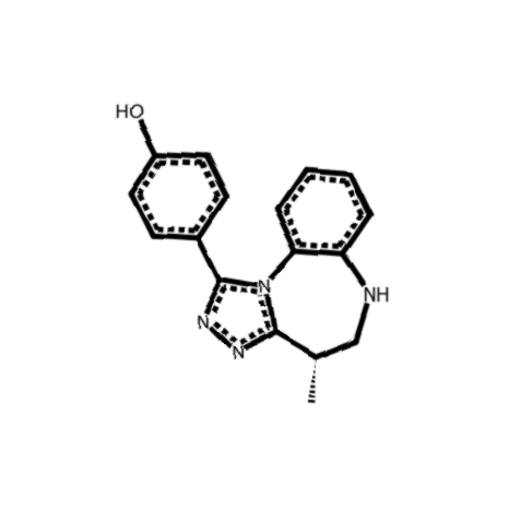 C[C@H]1CNc2ccccc2-n2c(-c3ccc(O)cc3)nnc21